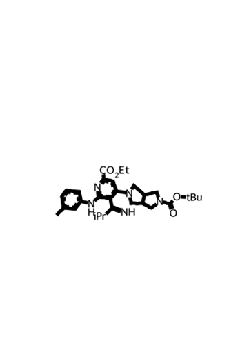 CCOC(=O)c1cc(N2CC3CN(C(=O)OC(C)(C)C)CC3C2)c(C(=N)C(C)C)c(Nc2cccc(C)c2)n1